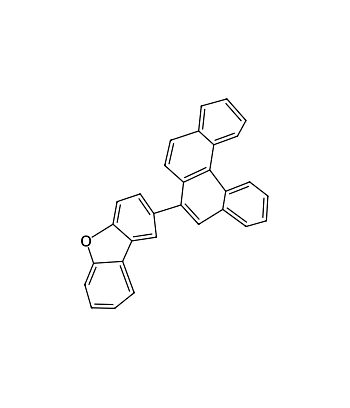 c1ccc2c(c1)ccc1c(-c3ccc4oc5ccccc5c4c3)cc3ccccc3c12